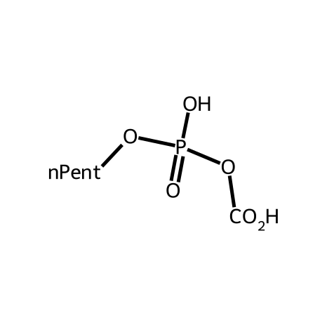 CCCCCOP(=O)(O)OC(=O)O